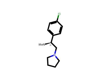 CN[C@H](CN1CCCC1)c1ccc(Cl)cc1